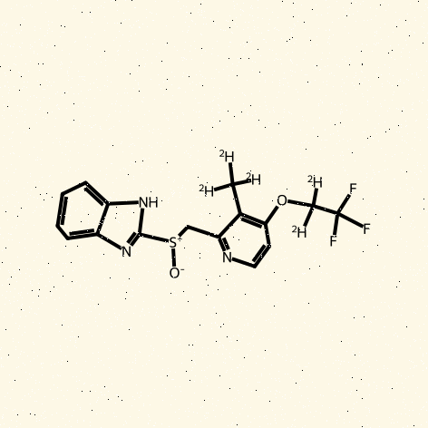 [2H]C([2H])([2H])c1c(OC([2H])([2H])C(F)(F)F)ccnc1C[S+]([O-])c1nc2ccccc2[nH]1